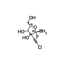 B[C@]1(F)O[C@H](CO)C(O)[C@]1(O)C#CCl